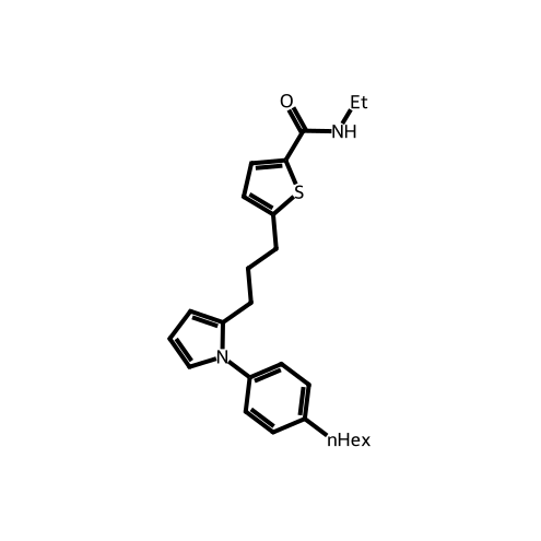 CCCCCCc1ccc(-n2cccc2CCCc2ccc(C(=O)NCC)s2)cc1